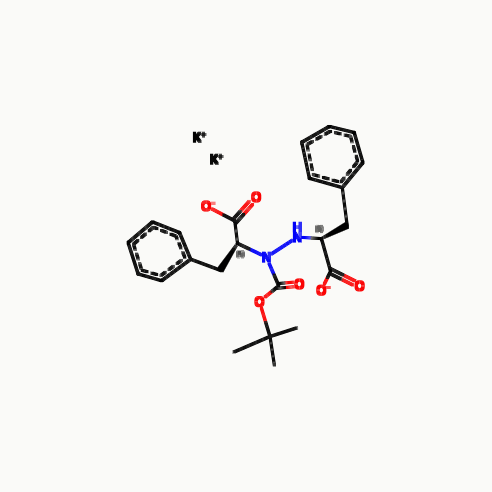 CC(C)(C)OC(=O)N(N[C@@H](Cc1ccccc1)C(=O)[O-])[C@@H](Cc1ccccc1)C(=O)[O-].[K+].[K+]